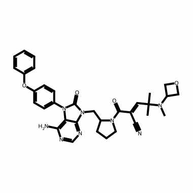 CN(C1COC1)C(C)(C)C=C(C#N)C(=O)N1CCCC1Cn1c(=O)n(-c2ccc(Oc3ccccc3)cc2)c2c(N)ncnc21